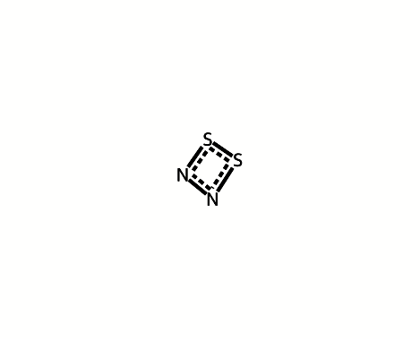 n1nss1